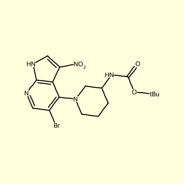 CC(C)(C)OC(=O)NC1CCCN(c2c(Br)cnc3[nH]cc([N+](=O)[O-])c23)C1